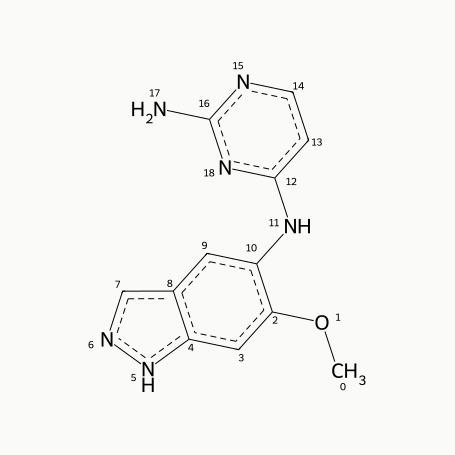 COc1cc2[nH]ncc2cc1Nc1ccnc(N)n1